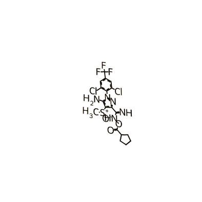 C[S+]([O-])c1c(C(=N)NOC(=O)C2CCCC2)nn(-c2c(Cl)cc(C(F)(F)F)cc2Cl)c1N